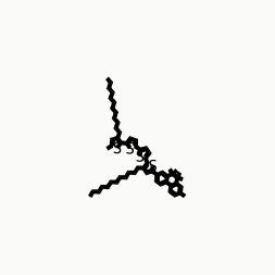 CCCCCCCCCCCCc1cc(C)sc1-c1ccc(-c2ccc(-c3sc(-c4ccc5c(c4)C(C)(C)C(C)(C)c4cc(C)ccc4-5)cc3CCCCCCCCCCCC)s2)s1